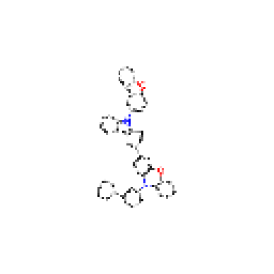 c1ccc(-c2cccc(N3c4ccccc4Oc4cc(-c5ccc6c(c5)c5ccccc5n6-c5ccc6oc7ccccc7c6c5)ccc43)c2)cc1